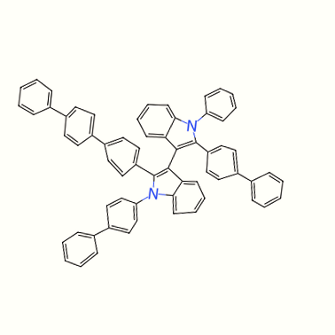 c1ccc(-c2ccc(-c3ccc(-c4c(-c5c(-c6ccc(-c7ccccc7)cc6)n(-c6ccccc6)c6ccccc56)c5ccccc5n4-c4ccc(-c5ccccc5)cc4)cc3)cc2)cc1